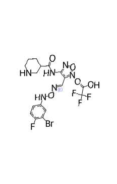 O=C(Nc1nonc1/C=N/ONc1ccc(F)c(Br)c1)C1CCCNC1.O=C(O)C(F)(F)F